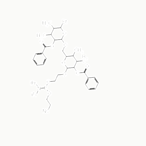 CCC1OC(OCC2OC(OCCOP(OCCC#N)N(C(C)C)C(C)C)C(OC(=O)c3ccccc3)C(C)C2C)C(OC(=O)c2ccccc2)C(C)C1C